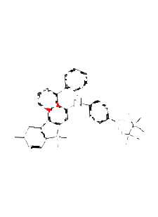 CC1C=CC2=C(C1)c1ccc(N(c3ccc(B4OC(C)(C)C(C)(C)O4)cc3)c3ccccc3-c3ccccc3)cc1C2(C)C